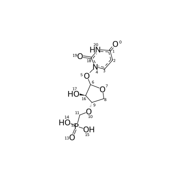 O=c1ccn(OC2OC[C@H](OCP(=O)(O)O)[C@H]2O)c(=O)[nH]1